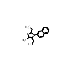 CCc1nc(C)c(CO)n1-c1ccc2ccccc2c1